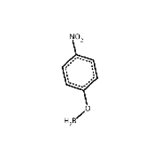 BOc1ccc([N+](=O)[O-])cc1